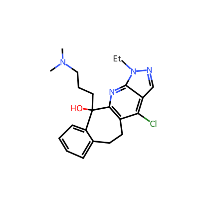 CCn1ncc2c(Cl)c3c(nc21)C(O)(CCCN(C)C)c1ccccc1CC3